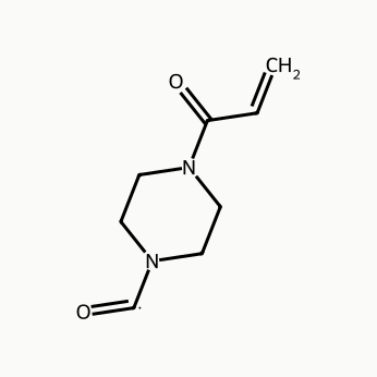 C=CC(=O)N1CCN([C]=O)CC1